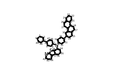 c1ccc(-c2ccc(N(c3ccc(-c4ccc5ccc6c7ccccc7ccc6c5c4)cc3)c3cccc4c3sc3ncccc34)cc2)cc1